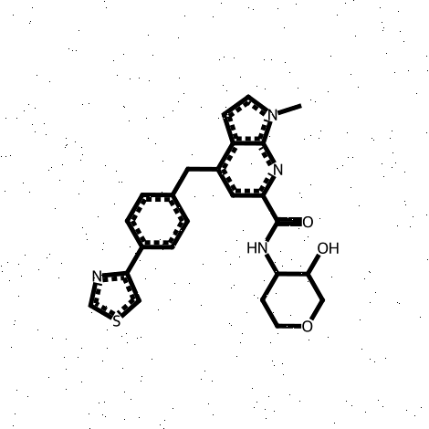 Cn1ccc2c(Cc3ccc(-c4cscn4)cc3)cc(C(=O)NC3CCOCC3O)nc21